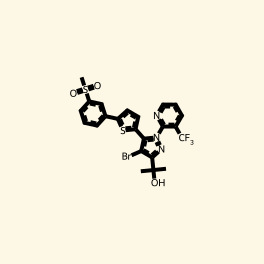 CC(C)(O)c1nn(-c2ncccc2C(F)(F)F)c(-c2ccc(-c3cccc(S(C)(=O)=O)c3)s2)c1Br